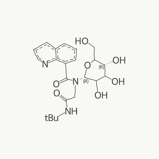 CC(C)(C)NC(=O)CN(C(=O)c1cccc2cccnc12)[C@@H]1OC(CO)[C@H](O)C(O)C1O